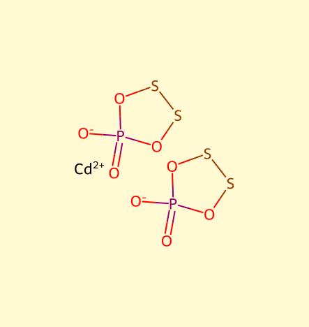 O=P1([O-])OSSO1.O=P1([O-])OSSO1.[Cd+2]